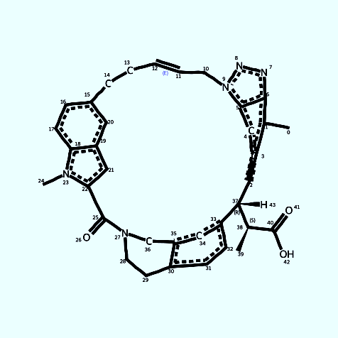 Cc1c2ccc3c1nnn3C/C=C/CCc1ccc3c(c1)cc(n3C)C(=O)N1CCc3ccc(cc3C1)[C@H]2[C@H](C)C(=O)O